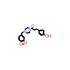 O=C(CCc1ccc(O)cc1)N1CCN(Cc2ccc3c(c2)OCO3)CC1